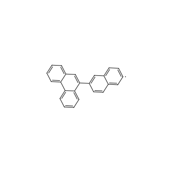 [c]1ccc2cc(-c3cc4ccccc4c4ccccc34)ccc2c1